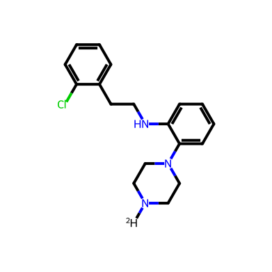 [2H]N1CCN(c2ccccc2NCCc2ccccc2Cl)CC1